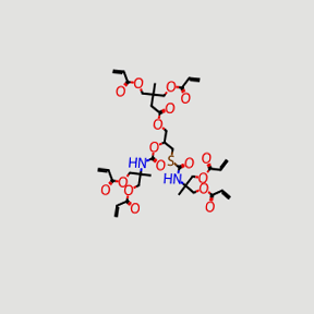 C=CC(=O)OCC(C)(COC(=O)C=C)CC(=O)OCC(CSC(=O)NC(C)(COC(=O)C=C)COC(=O)C=C)OC(=O)NC(C)(COC(=O)C=C)COC(=O)C=C